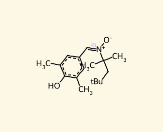 Cc1cc(/C=[N+](/[O-])C(C)(C)CC(C)(C)C)cc(C)c1O